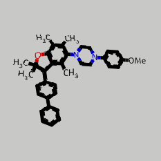 COc1ccc(N2CCN(c3c(C)c(C)c4c(c3C)C(c3ccc(-c5ccccc5)cc3)C(C)(C)O4)CC2)cc1